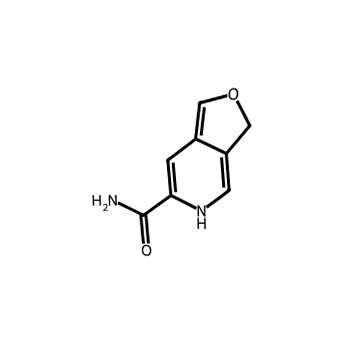 NC(=O)C1=CC2=COCC2=CN1